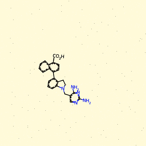 Nc1ncc(CN2CCc3c(-c4ccc(C(=O)O)c5ccccc45)cccc32)c(N)n1